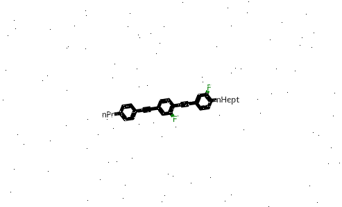 CCCCCCCc1ccc(C#Cc2ccc(C#Cc3ccc(CCC)cc3)cc2F)cc1F